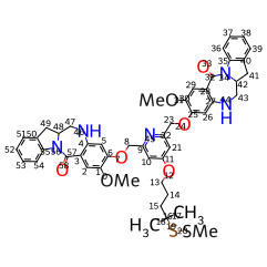 COc1cc2c(cc1OCc1cc(OCCCC(C)(C)SSC)cc(COc3cc4c(cc3OC)C(=O)N3c5ccccc5CC3CN4)n1)NCC1Cc3ccccc3N1C2=O